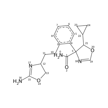 NC(=O)C1(c2ccccc2CCC2COC(N)=N2)N=COC1C1CC1